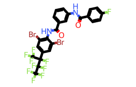 O=C(Nc1cccc(C(=O)Nc2c(Br)cc(C(F)(C(F)(F)F)C(F)(F)C(F)(F)F)cc2Br)c1)c1ccc(F)cc1